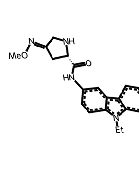 CCn1c2ccccc2c2cc(NC(=O)[C@@H]3C/C(=N\OC)CN3)ccc21